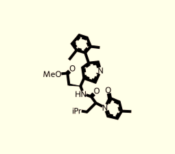 COC(=O)C[C@H](NC(=O)C(CC(C)C)n1ccc(C)cc1=O)c1cncc(-c2c(C)cccc2C)c1